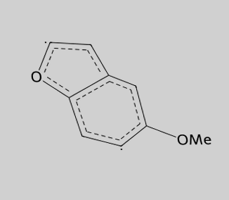 COc1[c]cc2o[c]cc2c1